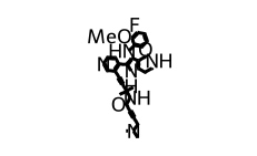 COc1c(F)cccc1Nc1c(-c2ccncc2C#CC(C)(C)NC(=O)C#CCN(C)C)[nH]c2c1C(=O)NCC2